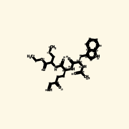 CCOC(=O)C(CSC)NC(=O)[C@H](CCC(=O)C=N)NC(=O)[C@H](Cc1c[nH]c2ccccc12)NC(C)=O